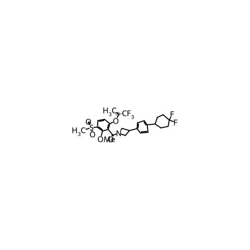 COc1c(S(C)(=O)=O)ccc(O[C@H](C)C(F)(F)F)c1C(=O)N1CC(c2ccc(C3CCC(F)(F)CC3)cc2)C1